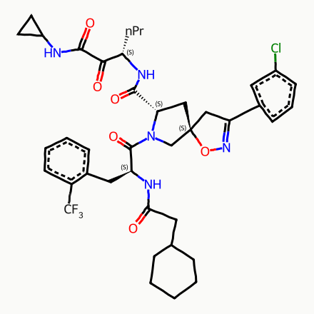 CCC[C@H](NC(=O)[C@@H]1C[C@]2(CC(c3cccc(Cl)c3)=NO2)CN1C(=O)[C@H](Cc1ccccc1C(F)(F)F)NC(=O)CC1CCCCC1)C(=O)C(=O)NC1CC1